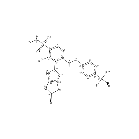 CNS(=O)(=O)c1ccc(NCc2ccc(C(F)(F)F)cc2)c(-c2cn3c(n2)O[C@H](C)C3)c1F